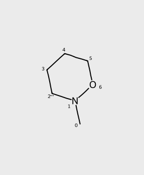 CN1[C]CCCO1